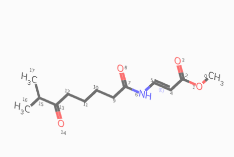 COC(=O)/C=C/NC(=O)CCCCC(=O)C(C)C